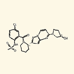 CS(=O)(=O)Nc1ccc(Cl)cc1C(=O)N1CCCC[C@H]1c1cc2nc(N3CC[C@@H](O)C3)ccn2n1